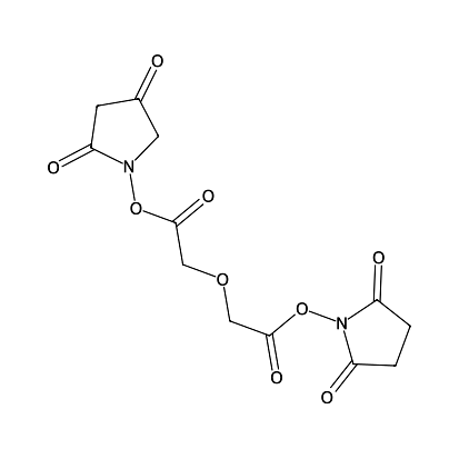 O=C1CC(=O)N(OC(=O)COCC(=O)ON2C(=O)CCC2=O)C1